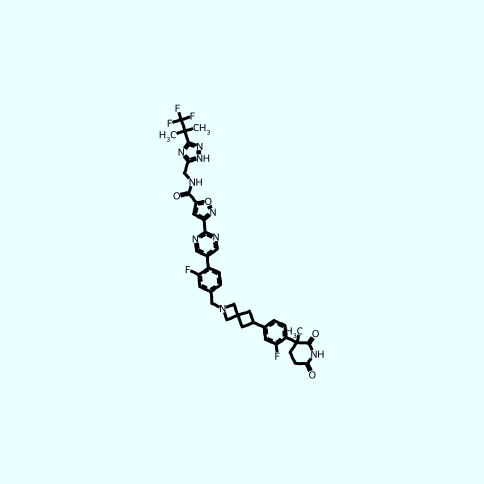 CC1(c2ccc(C3CC4(C3)CN(Cc3ccc(-c5cnc(-c6cc(C(=O)NCc7nc(C(C)(C)C(F)(F)F)n[nH]7)on6)nc5)c(F)c3)C4)cc2F)CCC(=O)NC1=O